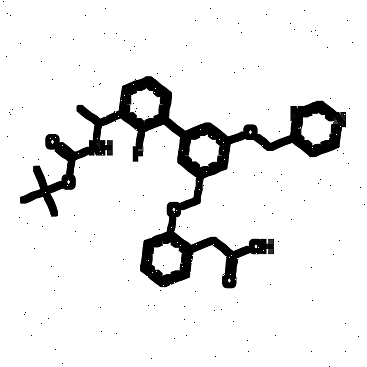 CC(NC(=O)OC(C)(C)C)c1cccc(-c2cc(COc3ccccc3CC(=O)O)cc(OCc3ccncn3)c2)c1F